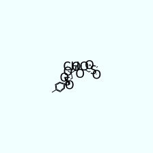 Cc1ccc(S(=O)(=O)CC(O[C]=O)C(=O)OCCS(C)(=O)=O)cc1